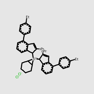 CCCC1=Cc2c(-c3ccc(CC)cc3)cccc2[CH]1[Ti+2]1([CH]2C(CCC)=Cc3c(-c4ccc(CC)cc4)cccc32)[CH]2CCCC[CH]21.[Cl-].[Cl-]